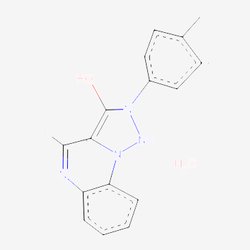 CC1=Nc2ccccc2N2NN(c3ccc(C(F)(F)F)cc3)C(O)=C12.O